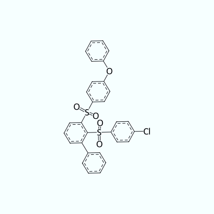 O=S(=O)(c1ccc(Oc2ccccc2)cc1)c1cccc(-c2ccccc2)c1S(=O)(=O)c1ccc(Cl)cc1